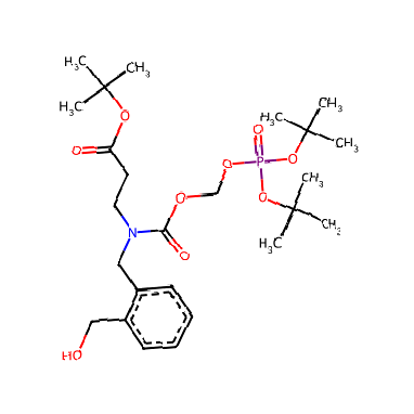 CC(C)(C)OC(=O)CCN(Cc1ccccc1CO)C(=O)OCOP(=O)(OC(C)(C)C)OC(C)(C)C